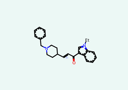 CCn1cc(C(=O)/C=C/C2CCN(Cc3ccccc3)CC2)c2ccccc21